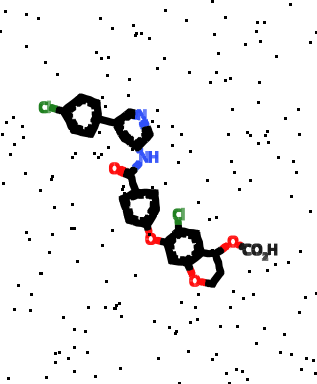 O=C(O)OC1CCOc2cc(Oc3ccc(C(=O)Nc4cncc(-c5ccc(Cl)cc5)c4)cc3)c(Cl)cc21